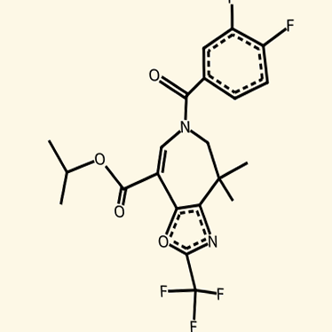 CC(C)OC(=O)C1=CN(C(=O)c2ccc(F)c(F)c2)CC(C)(C)c2nc(C(F)(F)F)oc21